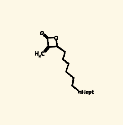 C=C1C(=O)OC1CCCCCCCCCCCCC